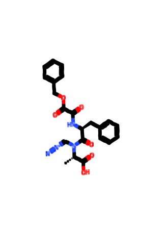 C[C@@H](C(=O)O)N(C=[N+]=[N-])C(=O)[C@H](Cc1ccccc1)NC(=O)C(=O)OCc1ccccc1